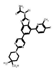 CCN(C(N)=O)c1nc2cc(-c3cnc(N4CCC(C)(C(=O)O)CC4)nc3)cc(-c3ccc(F)c(C)n3)c2s1